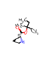 CCC(C)(C)OC(=O)[C@H]1CCCN1